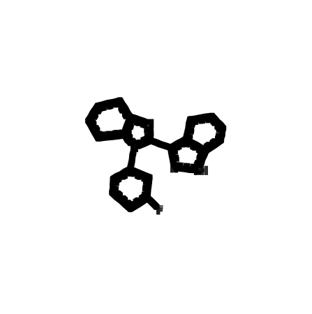 Fc1cccc(-n2c(-c3n[nH]c4ccccc34)nc3ccccc32)c1